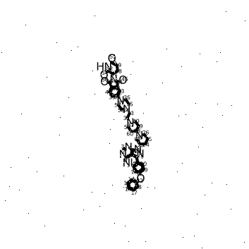 Nc1ncnc2c1c(-c1ccc(Oc3ccccc3)cc1)nn2C1CCCN(C2CCN(CCN3CCN(c4ccc5c(c4)C(=O)N(C4CCC(=O)NC4=O)C5=O)CC3)CC2)C1